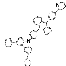 c1ccc(-c2ccc3c(c2)c2cc(-c4ccccc4)ccc2n3-c2ccc(-c3c4ccccc4c(-c4ccc(-c5ccccn5)cc4)c4ccccc34)cc2)cc1